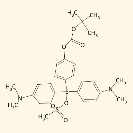 CN(C)c1ccc(S(OS(C)(=O)=O)(c2ccc(OC(=O)OC(C)(C)C)cc2)c2ccc(N(C)C)cc2)cc1